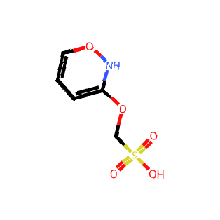 O=S(=O)(O)COC1=CC=CON1